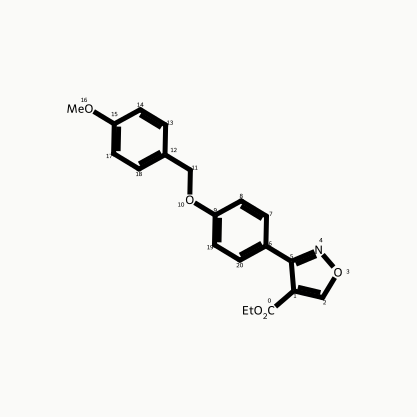 CCOC(=O)c1conc1-c1ccc(OCc2ccc(OC)cc2)cc1